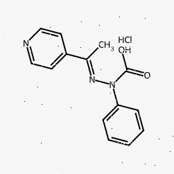 C/C(=N\N(C(=O)O)c1ccccc1)c1ccncc1.Cl